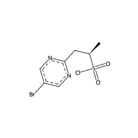 C[C@H](Cc1ncc(Br)cn1)S(=O)(=O)Cl